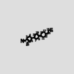 N#Cc1ccc(-c2ccc(C3CCC(/C=C/F)CC3)cc2)cc1F